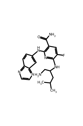 CC(C)CC(CN)Nc1nc(Nc2ccc3nccnc3c2)c(C(N)=O)cc1F